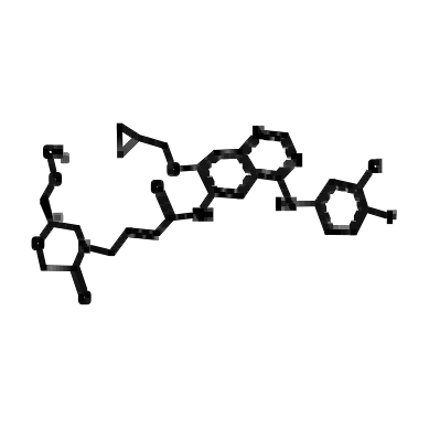 COC[C@H]1CN(CC=CC(=O)Nc2cc3c(Nc4ccc(F)c(Cl)c4)ncnc3cc2OCC2CC2)C(=O)CO1